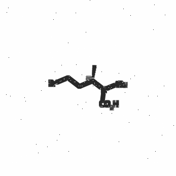 C[C@@H](CCBr)N(C(=O)O)C(C)(C)C